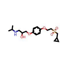 CC(C)NCC(O)COc1ccc(OCCS(=O)(=O)CC2CC2)cc1